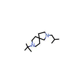 CC(C)CN1CCC2(CCN(C(C)(C)C)CC2)C1